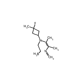 BCCN(/C(C)=C(/C)N=C)C1CC(C)(F)C1